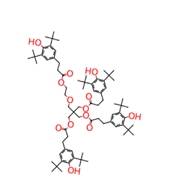 CC(C)(C)c1cc(CCC(=O)OCCOCC(COC(=O)CCc2cc(C(C)(C)C)c(O)c(C(C)(C)C)c2)(COC(=O)CCc2cc(C(C)(C)C)c(O)c(C(C)(C)C)c2)COC(=O)CCc2cc(C(C)(C)C)c(O)c(C(C)(C)C)c2)cc(C(C)(C)C)c1O